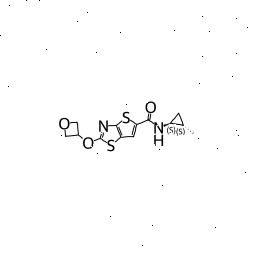 C[C@H]1C[C@@H]1NC(=O)c1cc2sc(OC3COC3)nc2s1